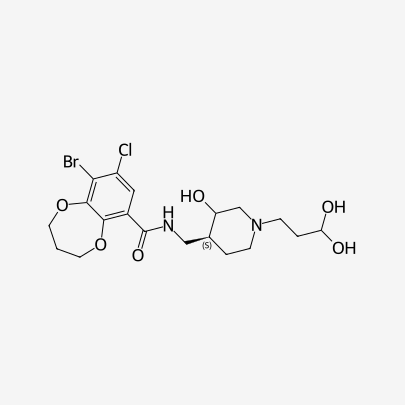 O=C(NC[C@@H]1CCN(CCC(O)O)CC1O)c1cc(Cl)c(Br)c2c1OCCCO2